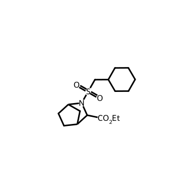 CCOC(=O)C1C2CCC(C2)N1S(=O)(=O)CC1CCCCC1